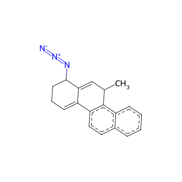 CC1C=C2C(=CCCC2N=[N+]=[N-])c2ccc3ccccc3c21